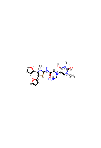 CN1C(C2=CCCO2)=C(c2ccco2)SC1NC(=O)CN(CN)c1cn(C)c(=O)n(C)c1=O